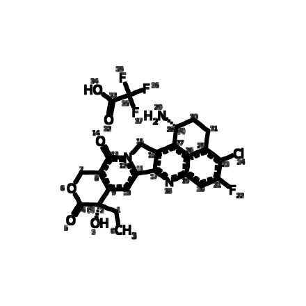 CC[C@@]1(O)C(=O)OCc2c1cc1n(c2=O)Cc2c-1nc1cc(F)c(Cl)c3c1c2[C@H](N)CC3.O=C(O)C(F)(F)F